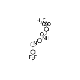 CCS(=O)(=O)c1ccc(CC(=O)Nc2ccc(N3CCCC(c4ccc(C(F)(F)F)cc4)C3)cc2)cc1